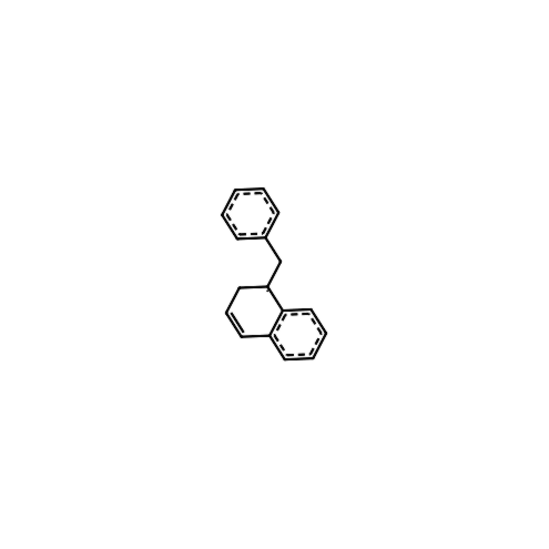 C1=Cc2ccccc2[C](Cc2ccccc2)C1